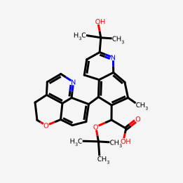 Cc1cc2nc(C(C)(C)O)ccc2c(-c2ccc3c4c(ccnc24)CCO3)c1C(OC(C)(C)C)C(=O)O